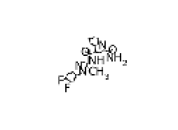 Cc1c(NC(=O)c2cc(C(N)=O)nc3ccccc23)cnn1Cc1ccc(F)c(F)c1